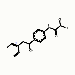 C=N/C(=C\C)CC(O)c1ccc(NC(=O)C(Cl)Cl)cc1